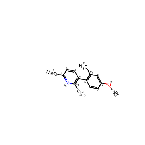 COc1ccc(-c2ccc(OC(C)(C)C)cc2C)c(C)n1